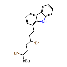 CCCCC(Br)CCC(Br)CCc1cccc2c1[nH]c1ccccc12